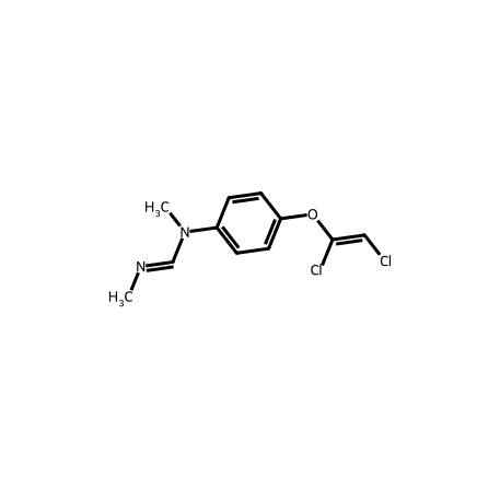 CN=CN(C)c1ccc(OC(Cl)=CCl)cc1